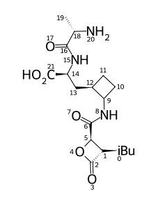 CC[C@H](C)[C@@H]1C(=O)O[C@H]1C(=O)NC1CC[C@@H]1C[C@H](NC(=O)[C@H](C)N)C(=O)O